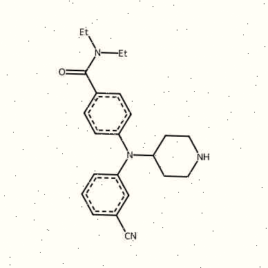 CCN(CC)C(=O)c1ccc(N(c2cccc(C#N)c2)C2CCNCC2)cc1